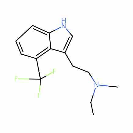 CCN(C)CCc1c[nH]c2cccc(C(F)(F)F)c12